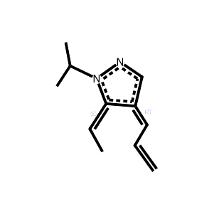 C=C/C=c1/cnn(C(C)C)/c1=C/C